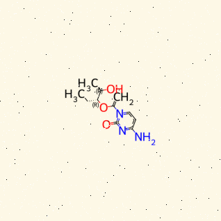 C=C(O[C@H](CC)[C@@H](C)O)n1ccc(N)nc1=O